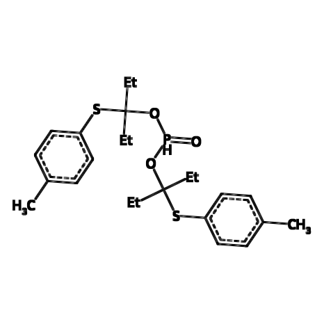 CCC(CC)(O[PH](=O)OC(CC)(CC)Sc1ccc(C)cc1)Sc1ccc(C)cc1